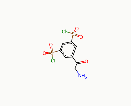 NCC(=O)c1cc(S(=O)(=O)Cl)cc(S(=O)(=O)Cl)c1